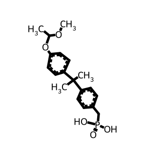 COC(C)Oc1ccc(C(C)(C)c2ccc(CP(=O)(O)O)cc2)cc1